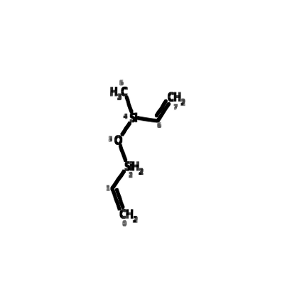 C=C[SiH2]O[Si](C)C=C